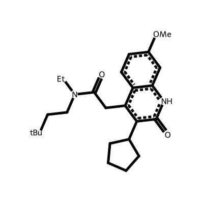 CCN(CCC(C)(C)C)C(=O)Cc1c(C2CCCC2)c(=O)[nH]c2cc(OC)ccc12